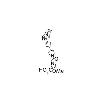 COC1(C(=O)O)CCN(CC(=O)N2CC=C(c3ccc(-c4ncn(C(C)C)n4)cc3)CC2)C1